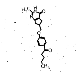 CCCCC(=O)c1ccc(OCC2Cc3nc(C)[nH]c(=O)c3C2)cc1